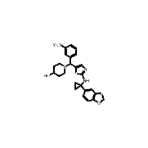 COc1cccc(C(c2cnc(NC3(c4ccc5c(c4)OCO5)CC3)s2)N2CCC(O)CC2)c1